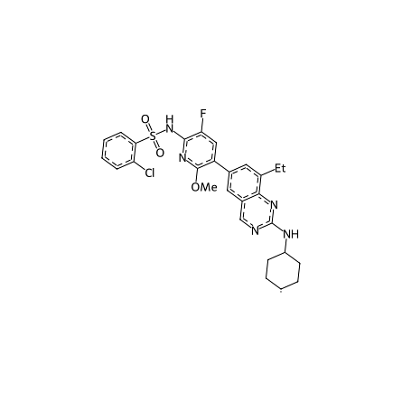 CCc1cc(-c2cc(F)c(NS(=O)(=O)c3ccccc3Cl)nc2OC)cc2cnc(NC3CC[CH]CC3)nc12